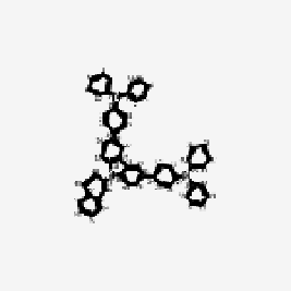 c1ccc(N(c2ccccc2)c2ccc(-c3ccc4c(c3)c3cc(-c5ccc(N(c6ccccc6)c6ccccc6)cc5)ccc3n4-c3ccc4ccccc4c3)cc2)cc1